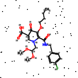 CCCCOc1c(C(=O)NCc2ccc(F)cc2)n(CC(OC)OC)cc(C(=O)O)c1=O